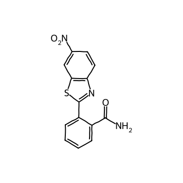 NC(=O)c1ccccc1-c1nc2ccc([N+](=O)[O-])cc2s1